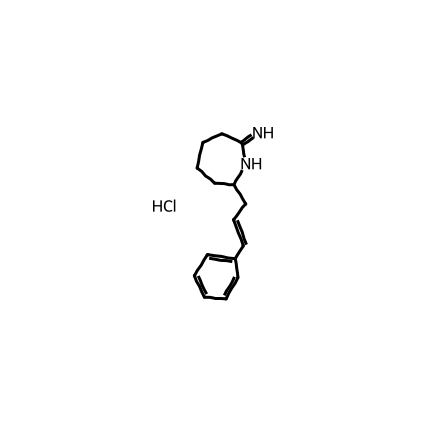 Cl.N=C1CCCCC(C/C=C/c2ccccc2)N1